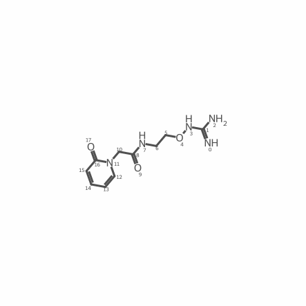 N=C(N)NOCCNC(=O)Cn1ccccc1=O